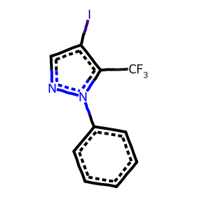 FC(F)(F)c1c(I)cnn1-c1ccccc1